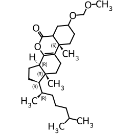 COCOC1CC[C@]2(C)C3=C(OC(=O)C2C1)[C@@H]1CC[C@H]([C@H](C)CCCC(C)C)[C@@]1(C)CC3